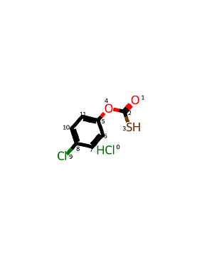 Cl.O=C(S)Oc1ccc(Cl)cc1